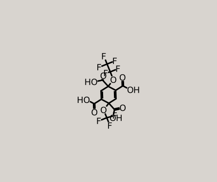 O=C(O)C1=CC(OC(F)(F)C(F)(F)F)(C(=O)O)C(C(=O)O)=CC1(OC(F)(F)F)C(=O)O